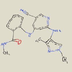 CNC(=O)c1ccccc1Nc1cc(Nc2cn(C)nc2C)ncc1C#N